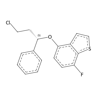 Fc1ccc(O[C@@H](CCCl)c2ccccc2)c2ccsc12